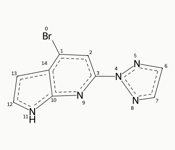 Brc1cc(-n2nccn2)nc2[nH]ccc12